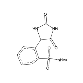 CCCCCCS(=O)(=O)c1ccccc1C1NC(=O)NC1=O